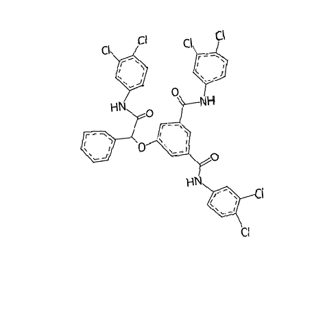 O=C(Nc1ccc(Cl)c(Cl)c1)c1cc(OC(C(=O)Nc2ccc(Cl)c(Cl)c2)c2ccccc2)cc(C(=O)Nc2ccc(Cl)c(Cl)c2)c1